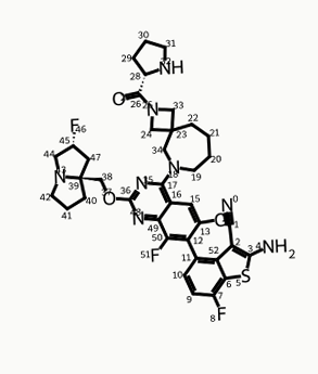 N#Cc1c(N)sc2c(F)ccc(-c3c(Cl)cc4c(N5CCCCC6(CN(C(=O)[C@@H]7CCCN7)C6)C5)nc(OC[C@@]56CCCN5C[C@H](F)C6)nc4c3F)c12